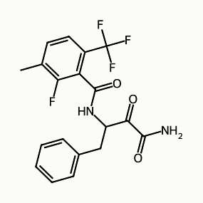 Cc1ccc(C(F)(F)F)c(C(=O)NC(Cc2ccccc2)C(=O)C(N)=O)c1F